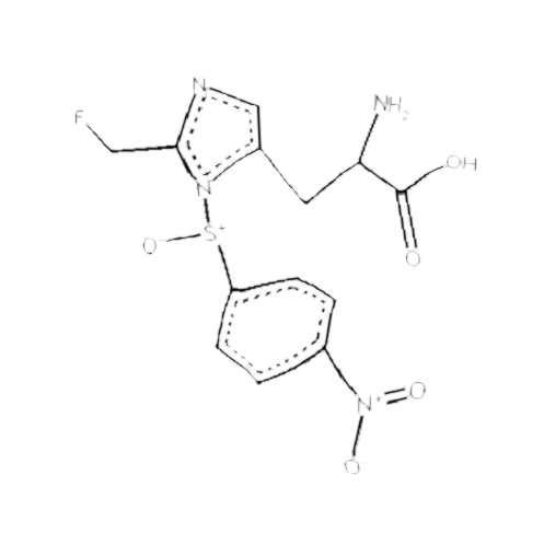 NC(Cc1cnc(CF)n1[S+]([O-])c1ccc([N+](=O)[O-])cc1)C(=O)O